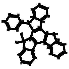 CC1(C)c2ccccc2-c2c1c1c(c3ccccc3n1-c1ccncc1)c1oc3ccccc3c21